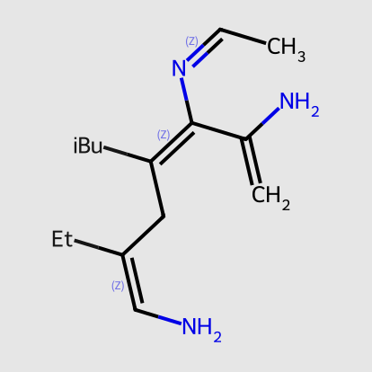 C=C(N)C(/N=C\C)=C(\C/C(=C\N)CC)C(C)CC